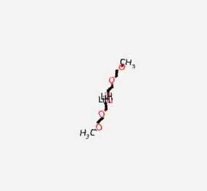 COCCOCCOCCOCCOC.[LiH].[LiH]